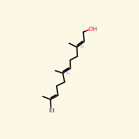 CCC(C)=CCC/C(C)=C/CC/C(C)=C/CO